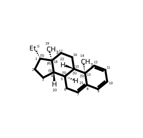 CC[C@H]1CC[C@H]2[C@@H]3CC=C4C=CC=C[C@]4(C)[C@H]3CC[C@]12C